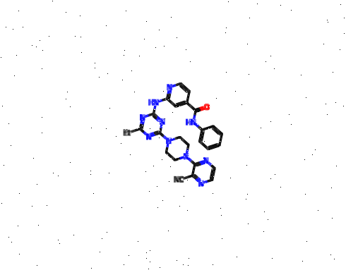 CCc1nc(Nc2cc(C(=O)Nc3ccccc3)ccn2)nc(N2CCN(c3nccnc3C#N)CC2)n1